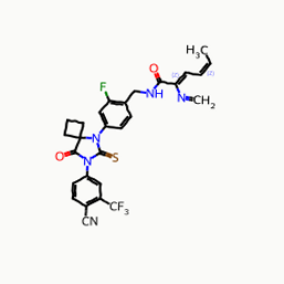 C=N/C(=C\C=C/C)C(=O)NCc1ccc(N2C(=S)N(c3ccc(C#N)c(C(F)(F)F)c3)C(=O)C23CCC3)cc1F